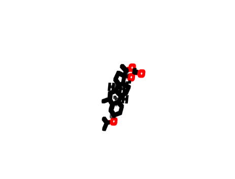 CC(=O)O[C@]1(C(C)=O)CC[C@H]2[C@@H]3C=C(C)C4=C[C@@H](OC(C)C)CC[C@]4(C)[C@H]3CC[C@@]21C